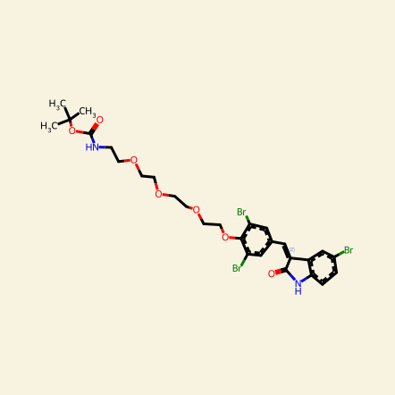 CC(C)(C)OC(=O)NCCOCCOCCOCCOc1c(Br)cc(/C=C2\C(=O)Nc3ccc(Br)cc32)cc1Br